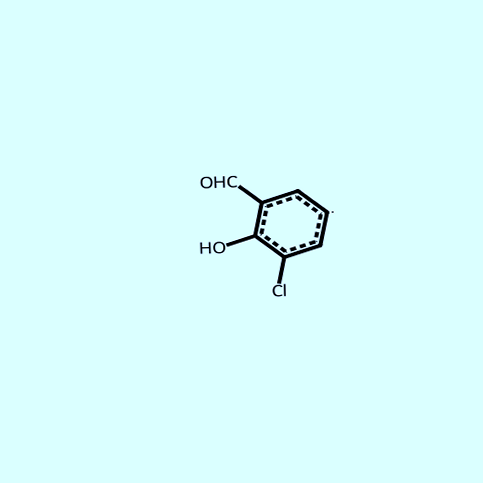 O=Cc1c[c]cc(Cl)c1O